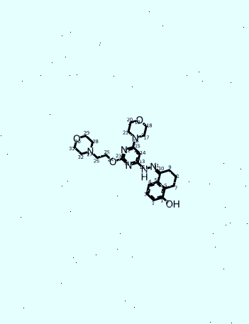 Oc1cccc2c1CCC/C2=N/Nc1cc(N2CCOCC2)nc(OCCN2CCOCC2)n1